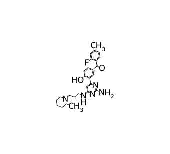 Cc1ccc(C(=O)c2ccc(O)c(-c3cc(NCCCN4CCCCC4C)nc(N)n3)c2)c(F)c1